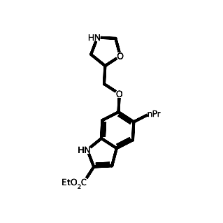 CCCc1cc2cc(C(=O)OCC)[nH]c2cc1OCC1CNCO1